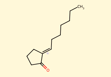 CCCCCC/C=C1\CCCC1=O